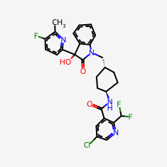 Cc1nc(C2(O)C(=O)N(C[C@H]3CC[C@H](NC(=O)c4cc(Cl)cnc4C(F)F)CC3)c3ccccc32)ccc1F